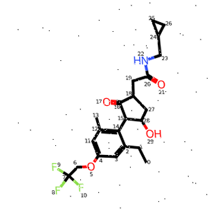 CCc1cc(OCC(F)(F)F)cc(C)c1C1C(=O)C(CC(=O)NCC2CC2)CC1O